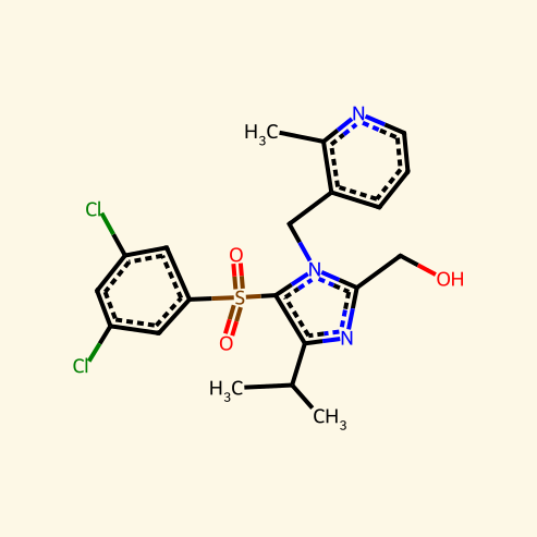 Cc1ncccc1Cn1c(CO)nc(C(C)C)c1S(=O)(=O)c1cc(Cl)cc(Cl)c1